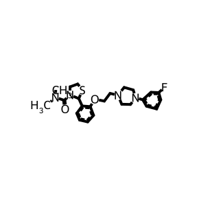 CN(C)C(=O)N1CCSC1c1ccccc1OCCN1CCN(c2cccc(F)c2)CC1